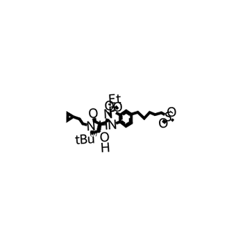 CCOP1(=O)N=C(C2=C(O)[C@H](C(C)(C)C)N(CCC3CC3)C2=O)Nc2ccc(CCCCCS(C)(=O)=O)cc21